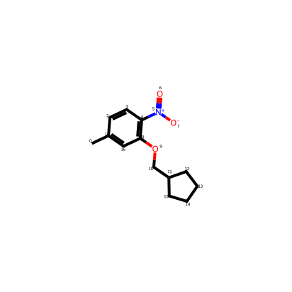 Cc1ccc([N+](=O)[O-])c(OCC2CCCC2)c1